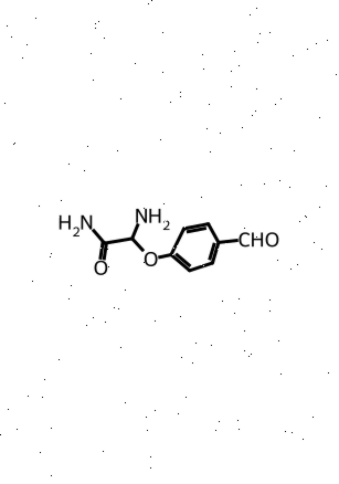 NC(=O)C(N)Oc1ccc(C=O)cc1